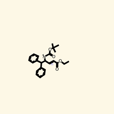 CCOC(=O)/C=C/C(C(c1ccccc1)c1ccccc1)N(C)C(=O)OC(C)(C)C